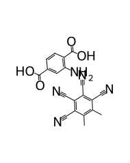 Cc1c(C)c(C#N)c(C#N)c(C#N)c1C#N.Nc1cc(C(=O)O)ccc1C(=O)O